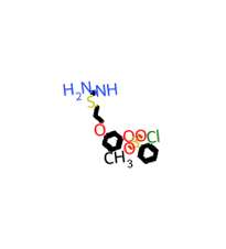 Cc1cc(OCCCSC(=N)N)cc(OS(=O)(=O)c2ccccc2Cl)c1